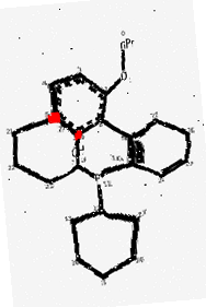 CCCOc1cccc(O)c1C1=C(P(C2CCCCC2)C2CCCCC2)C=CCC1